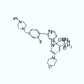 COC1(c2ccnc(-c3ccc(CN4CCN(C(C)C)CC4)cc3F)c2)NC=C(N2CCOCC2)C=C1S(N)(=O)=O